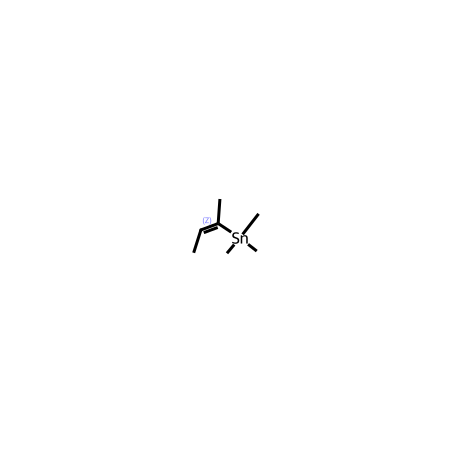 C/C=[C](/C)[Sn]([CH3])([CH3])[CH3]